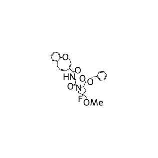 COC[C@@]1(F)CC(C(=O)OCc2ccccc2)N(C(=O)CNC(=O)C2=C/COc3ccccc3C/C=C\2)C1